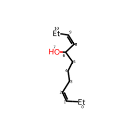 CC/C=C\CC[CH]C(O)/C=C\CC